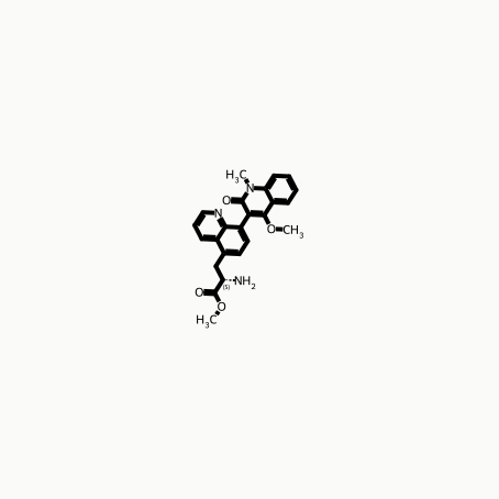 COC(=O)[C@@H](N)Cc1ccc(-c2c(OC)c3ccccc3n(C)c2=O)c2ncccc12